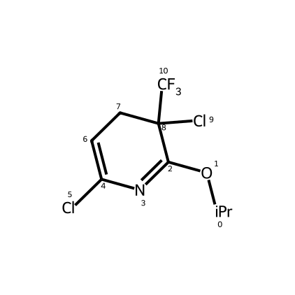 CC(C)OC1=NC(Cl)=CCC1(Cl)C(F)(F)F